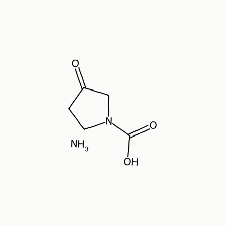 N.O=C1CCN(C(=O)O)C1